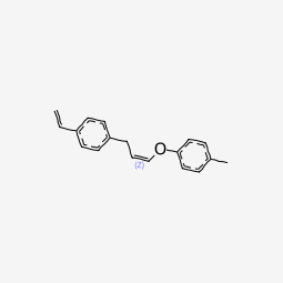 C=Cc1ccc(C/C=C\Oc2ccc(C)cc2)cc1